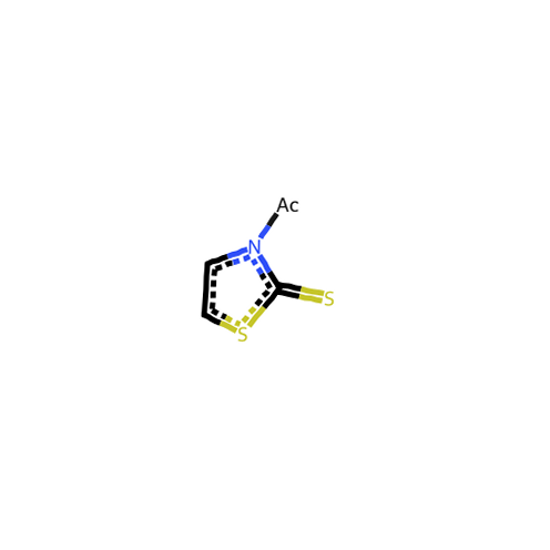 CC(=O)n1ccsc1=S